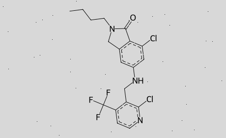 CCCCN1Cc2cc(NCc3c(C(F)(F)F)ccnc3Cl)cc(Cl)c2C1=O